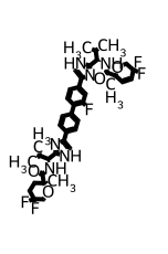 CC(C)[C@H](NC(=O)[C@@]1(C)C=CC(F)(F)CO1)c1nc(-c2ccc(-c3ccc(-c4c[nH]c([C@@H](NC(=O)[C@@]5(C)CCC(F)(F)CO5)C(C)C)n4)cc3)c(F)c2)c[nH]1